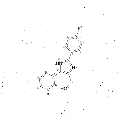 OCc1nc(-c2ccc(F)cc2)[nH]c1-c1cccnc1